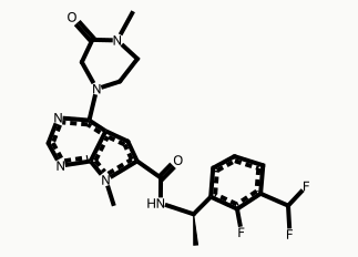 C[C@@H](NC(=O)c1cc2c(N3CCN(C)C(=O)C3)ncnc2n1C)c1cccc(C(F)F)c1F